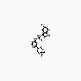 O=C(Nc1ccnc(C2CCC(F)(F)CC2)c1)Nc1c[nH]c2ccc(Cl)cc12